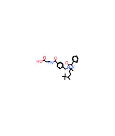 CC(CCC1(C)N=C(c2ccccc2)C(=O)N1[C@H](C)c1ccc(C(=O)NCCC(=O)O)cc1)C(C)(C)C